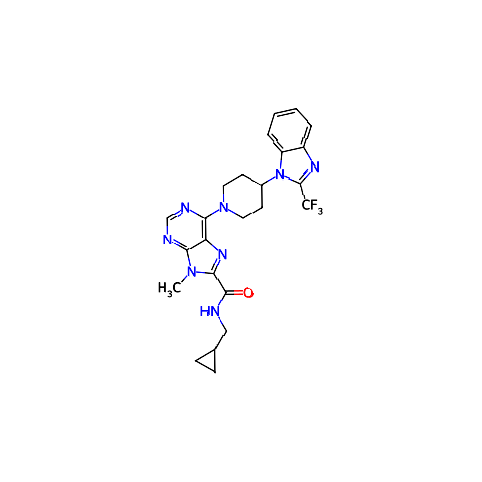 Cn1c(C(=O)NCC2CC2)nc2c(N3CCC(n4c(C(F)(F)F)nc5ccccc54)CC3)ncnc21